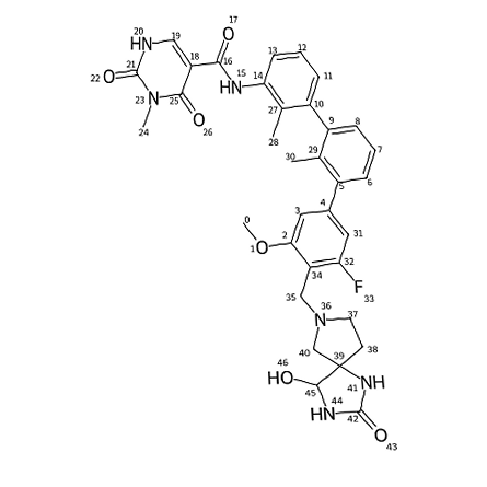 COc1cc(-c2cccc(-c3cccc(NC(=O)c4c[nH]c(=O)n(C)c4=O)c3C)c2C)cc(F)c1CN1CCC2(C1)NC(=O)NC2O